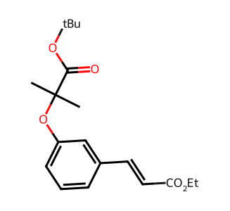 CCOC(=O)C=Cc1cccc(OC(C)(C)C(=O)OC(C)(C)C)c1